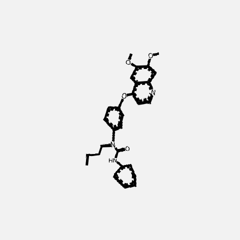 CCCCN(C(=O)Nc1ccccc1)c1ccc(Oc2ccnc3cc(OC)c(OC)cc23)cc1